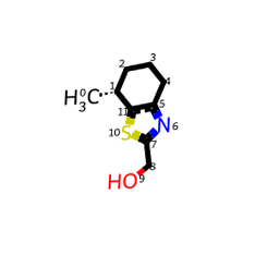 C[C@@H]1CCCc2nc(CO)sc21